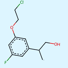 [CH2]C(CO)c1cc(F)cc(OCCCl)c1